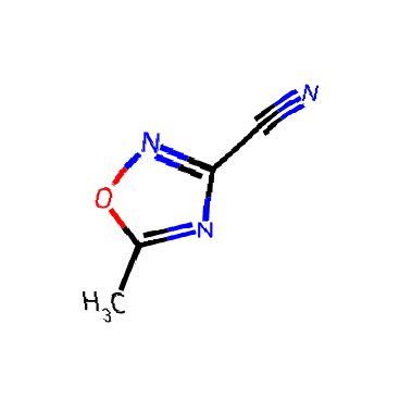 Cc1nc(C#N)no1